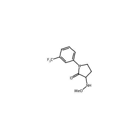 CONC1CCN(c2cccc(C(F)(F)F)c2)C1=O